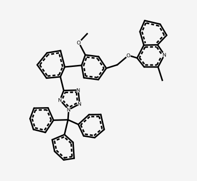 COc1cc(COc2cc(C)nc3ccccc23)ccc1-c1ccccc1-c1nnn(C(c2ccccc2)(c2ccccc2)c2ccccc2)n1